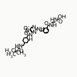 CC(C)(C)OC(=O)NCC1CCC(CNc2nc(NCc3cccc(C(=O)NCCNC(=O)O)c3)ncc2[N+](=O)[O-])CC1